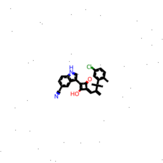 C=C(/C=C1\C(=O)C(c2c[nH]c3ccc(C#N)cc23)=C1O)C(C)(C)c1cc(Cl)ccc1C